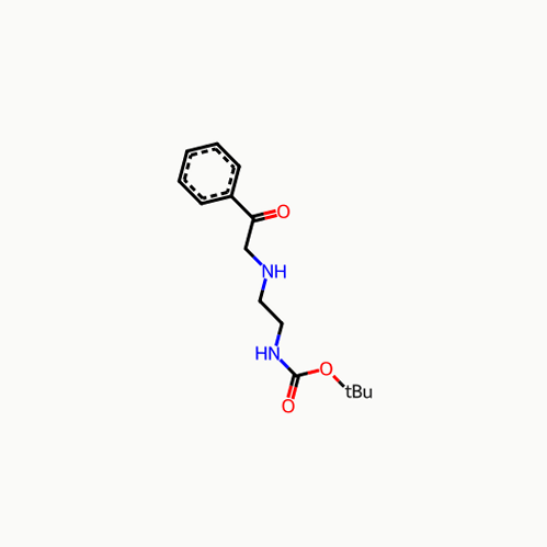 CC(C)(C)OC(=O)NCCNCC(=O)c1ccccc1